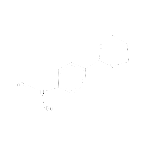 CCCCN(CCCC)c1ccc(C2SCCCS2)cc1